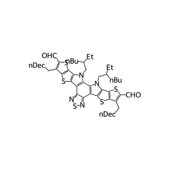 CCCCCCCCCCCc1c(C=O)sc2c1sc1c3c4nsnc4c4c5sc6c(CCCCCCCCCCC)c(C=O)sc6c5n(CC(CC)CCCC)c4c3n(CC(CC)CCCC)c21